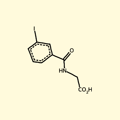 O=C(O)CNC(=O)c1cccc(I)c1